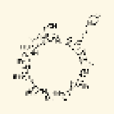 CC[C@@H]1NC(=O)[C@H]([C@H](O)[C@H](C)CCCCO)NC(=O)[C@H](C(C)C)N(C)C(=O)[C@H](CC(C)C)N(C)C(=O)[C@H](CC(C)C)N(C)C(=O)[C@@H](C)NC(=O)[C@H](C)NC(=O)[C@H](CC(C)C)N(C)C(=O)[C@H](C(C)C)NC(=O)[C@H]([C@@H](C)OCCCCN2CCOCC2)N(C)C(=O)[C@@H](C)N(C)C1=O